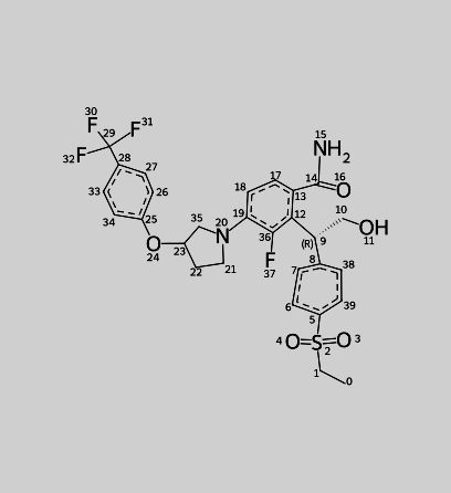 CCS(=O)(=O)c1ccc([C@@H](CO)c2c(C(N)=O)ccc(N3CCC(Oc4ccc(C(F)(F)F)cc4)C3)c2F)cc1